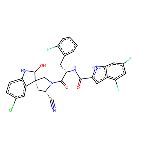 N#C[C@@H]1C[C@]2(CN1C(=O)[C@H](Cc1ccccc1F)NC(=O)c1cc3c(F)cc(F)cc3[nH]1)c1cc(Cl)ccc1NC2O